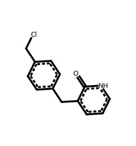 O=c1[nH]cccc1Cc1ccc(CCl)cc1